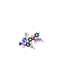 CNC(=O)c1c(-c2ccc(F)cc2)oc2ccc(-c3cc(C(=O)N(c4ncc(C)cn4)C4CC4)ccc3C)cc12